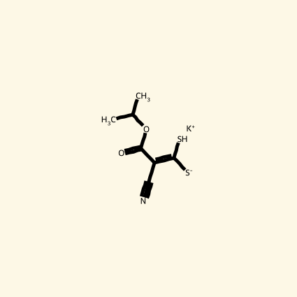 CC(C)OC(=O)C(C#N)=C([S-])S.[K+]